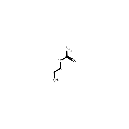 CCCSC(C)=O